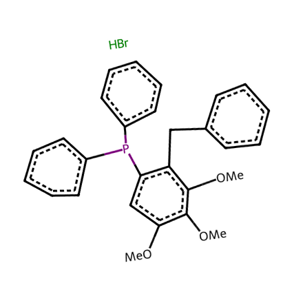 Br.COc1cc(P(c2ccccc2)c2ccccc2)c(Cc2ccccc2)c(OC)c1OC